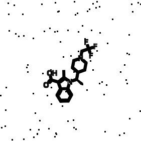 Cc1c(C(=O)O)c2ccccc2n1[C@H](C)C1CCN(CC(F)(F)F)CC1